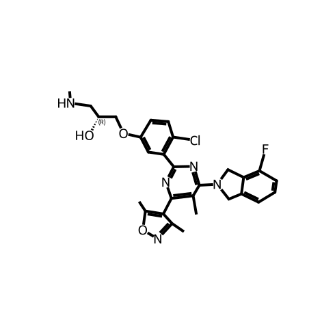 CNC[C@@H](O)COc1ccc(Cl)c(-c2nc(-c3c(C)noc3C)c(C)c(N3Cc4cccc(F)c4C3)n2)c1